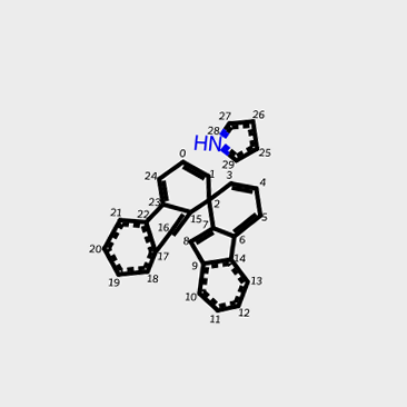 C1=CC2(C=CC=C3C2=Cc2ccccc23)C2=Cc3ccccc3C2=C1.c1cc[nH]c1